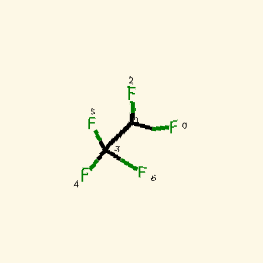 FC(F)C(F)(F)F